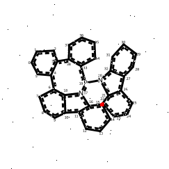 c1ccc2c(c1)c1cccc3c4ccccc4n(c13)p(-n1c3ccccc3c3ccccc31)c1ccccc21